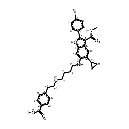 CNC(=O)c1c(-c2ccc(F)cc2)oc2cc(NCCCCOCCc3ccc(C(=O)O)cc3)c(C3CC3)cc12